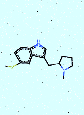 CSc1ccc2[nH]cc(C[C@H]3CCCN3C)c2c1